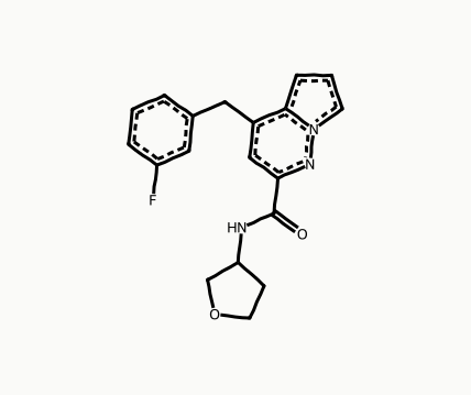 O=C(NC1CCOC1)c1cc(Cc2cccc(F)c2)c2cccn2n1